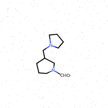 O=[C]N1CCCC(CN2CCCC2)C1